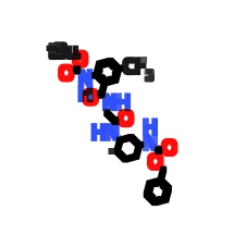 CC(C)(C)OC(=O)Nc1ccc(C(F)(F)F)cc1C(=O)NCC(=O)NC1[CH]CCC(NC(=O)OCc2ccccc2)C1